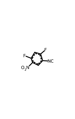 [C-]#[N+]c1cc([N+](=O)[O-])c(F)cc1F